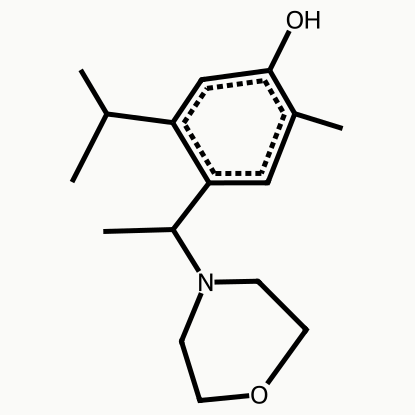 Cc1cc(C(C)N2CCOCC2)c(C(C)C)cc1O